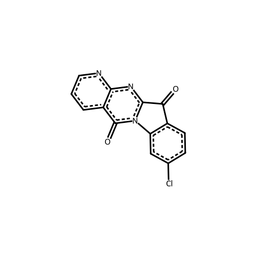 O=C1c2ccc(Cl)cc2-n2c1nc1ncccc1c2=O